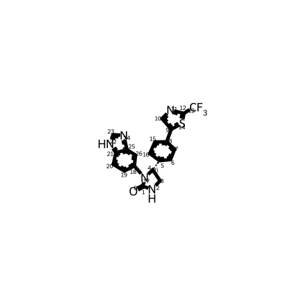 O=C1NC[C@@H](c2ccc(-c3cnc(C(F)(F)F)s3)cc2)N1c1ccc2[nH]cnc2c1